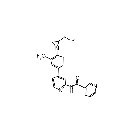 Cc1ncccc1C(=O)Nc1cc(-c2ccc(N3CC3CC(C)C)c(C(F)(F)F)c2)ccn1